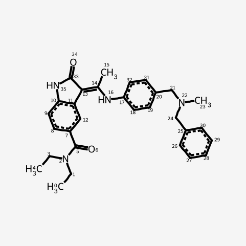 CCN(CC)C(=O)c1ccc2c(c1)C(=C(C)Nc1ccc(CN(C)Cc3ccccc3)cc1)C(=O)N2